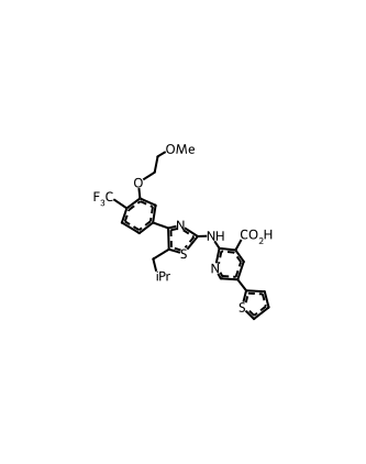 COCCOc1cc(-c2nc(Nc3ncc(-c4cccs4)cc3C(=O)O)sc2CC(C)C)ccc1C(F)(F)F